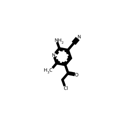 Cc1nc(N)c(C#N)cc1C(=O)CCl